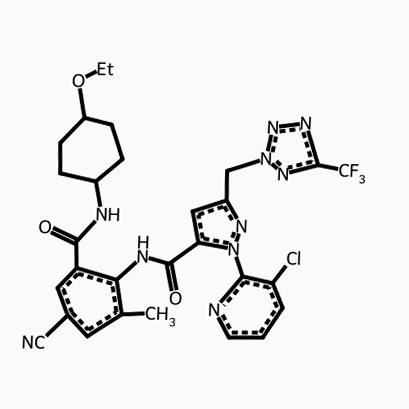 CCOC1CCC(NC(=O)c2cc(C#N)cc(C)c2NC(=O)c2cc(Cn3nnc(C(F)(F)F)n3)nn2-c2ncccc2Cl)CC1